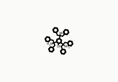 NC(Cc1ccccc1)(Cc1ccccc1)c1cc(C(N)(Cc2ccccc2)Cc2ccccc2)c(O)c(C(N)(Cc2ccccc2)Cc2ccccc2)c1